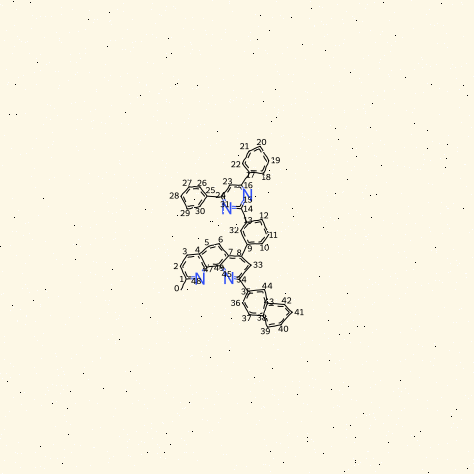 Cc1ccc2ccc3c(-c4cccc(-c5nc(-c6ccccc6)cc(-c6ccccc6)n5)c4)cc(-c4ccc5ccccc5c4)nc3c2n1